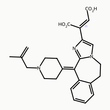 C=C(C)CN1CCC(=C2c3ccccc3CCn3cc(/C(=C/C(=O)O)C(=O)O)nc32)CC1